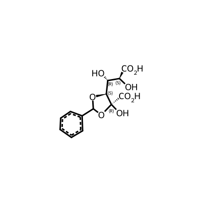 O=C(O)[C@@H](O)[C@@H](O)[C@@H]1OC(c2ccccc2)O[C@@]1(O)C(=O)O